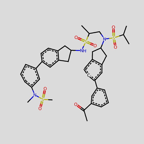 CC(=O)c1cccc(-c2ccc3c(c2)CC(N(CC(C)S(=O)(=O)NC2Cc4ccc(-c5cccc(N(C)S(C)(=O)=O)c5)cc4C2)S(=O)(=O)C(C)C)C3)c1